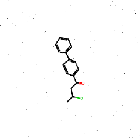 CC(Cl)CC(=O)c1ccc(-c2ccccc2)cc1